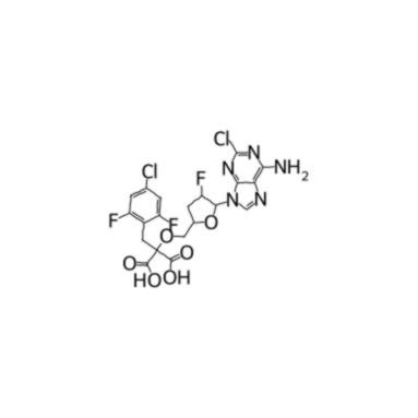 Nc1nc(Cl)nc2c1ncn2C1OC(COC(Cc2c(F)cc(Cl)cc2F)(C(=O)O)C(=O)O)CC1F